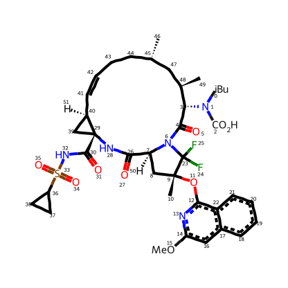 CCC(C)N(C(=O)O)[C@@H]1C(=O)N2[C@@H](C[C@@](C)(Oc3nc(OC)cc4ccccc34)C2(F)F)C(=O)N[C@]2(C(=O)NS(=O)(=O)C3CC3)C[C@H]2/C=C\CC[C@H](C)C[C@H]1C